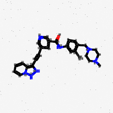 CN1CCN(Cc2ccc(NC(=O)c3cncc(C#CC4=C5C=CC=CN5NN4)c3)cc2C(F)(F)F)CC1